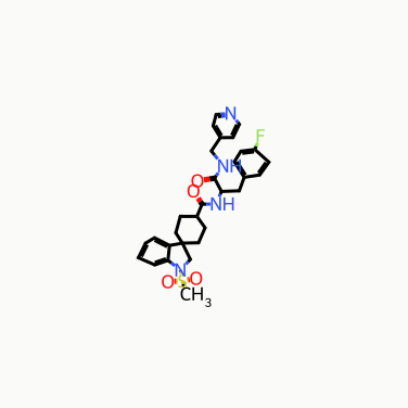 CS(=O)(=O)N1CC2(CCC(C(=O)NC(Cc3ccc(F)cc3)C(=O)NCc3ccncc3)CC2)c2ccccc21